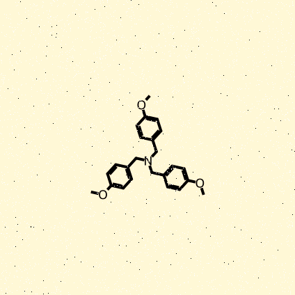 COc1ccc(CN(Cc2ccc(OC)cc2)Cc2ccc(OC)cc2)cc1